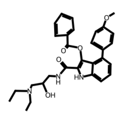 CCN(CC)CC(O)CNC(=O)c1[nH]c2cccc(-c3ccc(OC)cc3)c2c1OC(=O)c1ccccc1